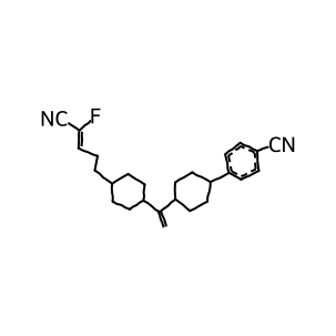 C=C(C1CCC(CCC=C(F)C#N)CC1)C1CCC(c2ccc(C#N)cc2)CC1